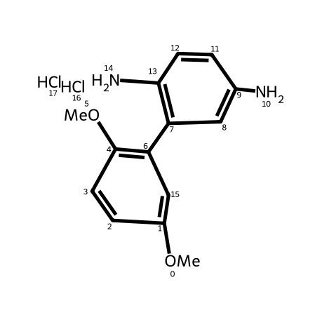 COc1ccc(OC)c(-c2cc(N)ccc2N)c1.Cl.Cl